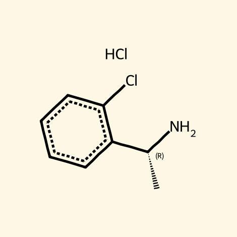 C[C@@H](N)c1ccccc1Cl.Cl